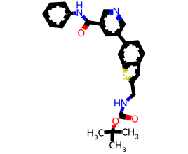 CC(C)(C)OC(=O)NCc1cc2ccc(-c3cncc(C(=O)Nc4ccccc4)c3)cc2s1